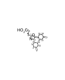 Cc1ccc(-c2nc(SCC(=O)O)oc2-c2ccc(C)cc2)cc1